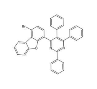 Brc1ccc(-c2nc(-c3ccccc3)nc(-c3ccccc3)c2-c2ccccc2)c2oc3ccccc3c12